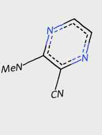 CNc1nccnc1C#N